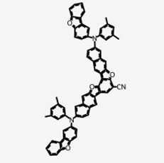 Cc1cc(C)cc(N(c2ccc3cc4c(cc3c2)oc2c4cc(C#N)c3oc4cc5cc(N(c6cc(C)cc(C)c6)c6ccc7oc8ccccc8c7c6)ccc5cc4c32)c2ccc3oc4ccccc4c3c2)c1